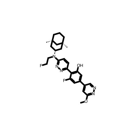 COc1cc(-c2cc(O)c(-c3ccc(N(CCF)[C@H]4C[C@]5(C)CCC[C@](C)(C4)C5)nn3)c(F)c2)cnn1